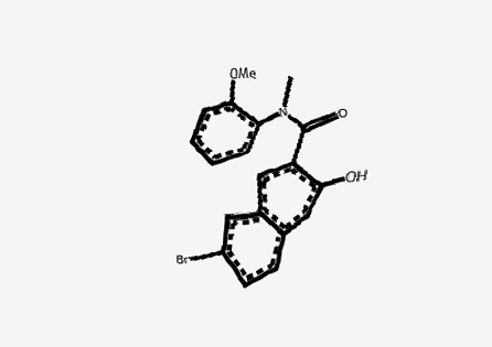 COc1ccccc1N(C)C(=O)c1cc2cc(Br)ccc2cc1O